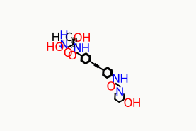 C[C@@H](O)[C@H](NC(=O)c1ccc(C#Cc2ccc(NC(=O)CN3CCCC(O)C3)cc2)cc1)C(=O)NO